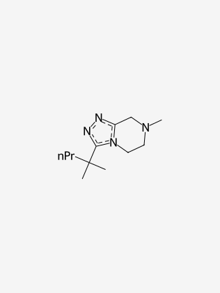 CCCC(C)(C)c1nnc2n1CCN(C)C2